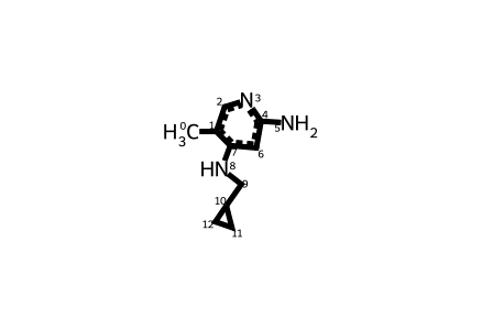 Cc1cnc(N)cc1NCC1CC1